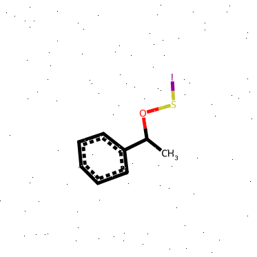 CC(OSI)c1ccccc1